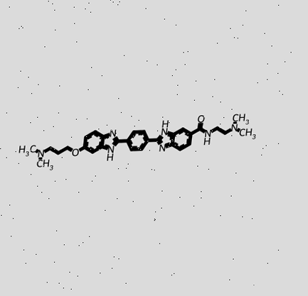 CN(C)CCCOc1ccc2nc(-c3ccc(-c4nc5ccc(C(=O)NCCN(C)C)cc5[nH]4)cc3)[nH]c2c1